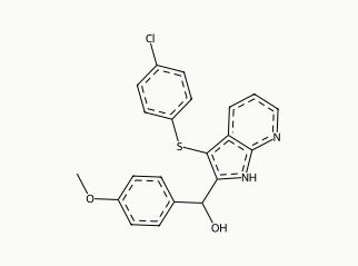 COc1ccc(C(O)c2[nH]c3ncccc3c2Sc2ccc(Cl)cc2)cc1